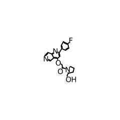 O=C(COc1cc(-c2ccc(F)cc2)nc2ccncc12)N1CCCC1CO